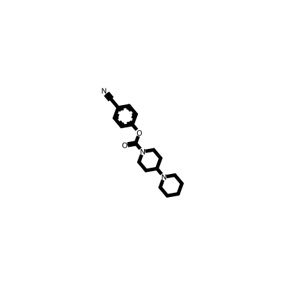 N#Cc1ccc(OC(=O)N2CCC(N3CCCCC3)CC2)cc1